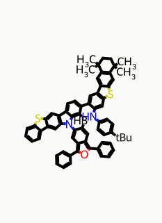 CC(C)(C)c1ccc(Nc2cc3sc4cc5c(cc4c3cc2-c2ccc3c4cc6sc7ccccc7c6cc4n4c3c2Bc2cc3c(-c6ccccc6)oc(-c6ccccc6)c3cc2-4)C(C)(C)CCC5(C)C)cc1